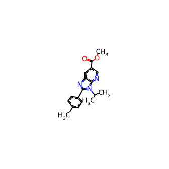 COC(=O)c1cnc2c(c1)nc(-c1ccc(C)cc1)n2C(C)C